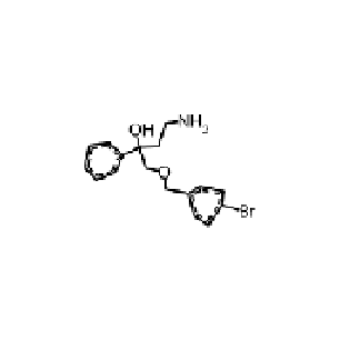 NCCC(O)(COCc1ccc(Br)cc1)c1ccccc1